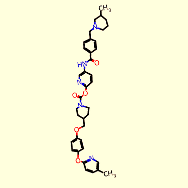 Cc1ccc(Oc2ccc(OCC3CCN(C(=O)Oc4ccc(NC(=O)c5ccc(CN6CCCC(C)C6)cc5)cn4)CC3)cc2)nc1